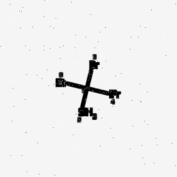 CCC([SiH3])(Br)C(C)C